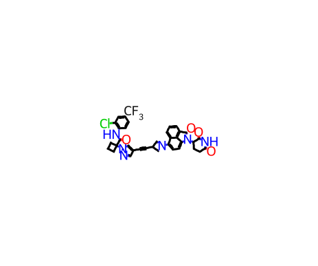 O=C1CCC(N2C(=O)c3cccc4c(N5CC(C#Cc6cnn(C7(C(=O)Nc8ccc(C(F)(F)F)cc8Cl)CCC7)c6)C5)ccc2c34)C(=O)N1